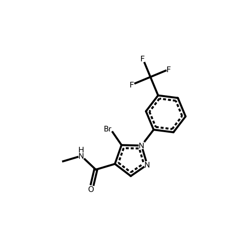 CNC(=O)c1cnn(-c2cccc(C(F)(F)F)c2)c1Br